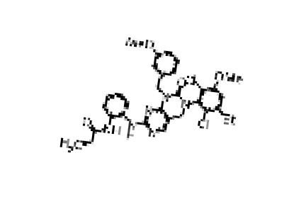 C=CC(=O)Nc1ccccc1Nc1ncc2c(n1)N(Cc1cccc(OC)c1)C(=O)N(c1c(Cl)c(CC)cc(OC)c1Cl)C2